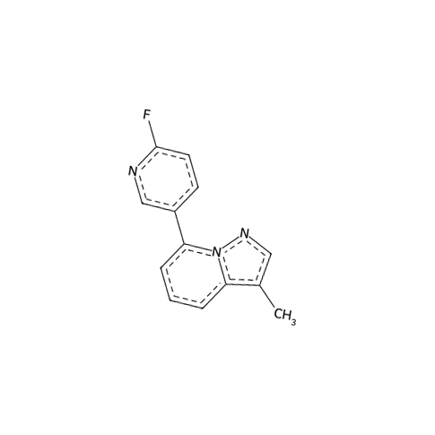 Cc1cnn2c(-c3ccc(F)nc3)cccc12